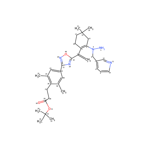 C=C(C1=C(N(N)Cc2cccnc2)CC(C)(C)CC1)c1nc(-c2cc(C)c(CCC(=O)OC(C)(C)C)c(C)c2)no1